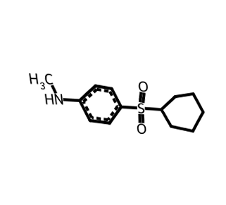 CNc1ccc(S(=O)(=O)C2CCCCC2)cc1